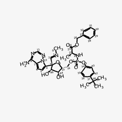 CN=C[C@@]1(c2ccc3c(N)ncnn23)O[C@H](COP(=O)(N[C@@H](C)C(=O)OCc2ccccc2)Oc2ccc(C(C)(C)C)cc2)[C@@H](O)[C@H]1O